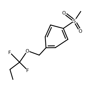 CCC(F)(F)OCc1ccc(S(C)(=O)=O)cc1